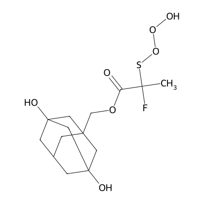 CC(F)(SOOO)C(=O)OCC12CC3CC(O)(CC(O)(C3)C1)C2